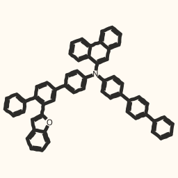 c1ccc(-c2ccc(-c3ccc(N(c4ccc(-c5ccc(-c6ccccc6)c(-c6cc7ccccc7o6)c5)cc4)c4cc5ccccc5c5ccccc45)cc3)cc2)cc1